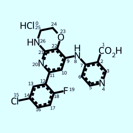 Cl.O=C(O)c1cnccc1Nc1cc(-c2cc(Cl)ccc2F)nc2c1OCCN2